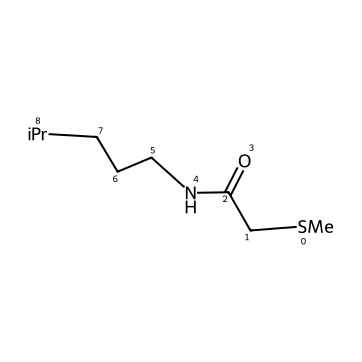 CSCC(=O)NCCCC(C)C